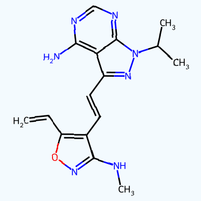 C=Cc1onc(NC)c1/C=C/c1nn(C(C)C)c2ncnc(N)c12